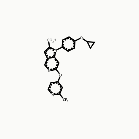 O=C(O)c1cc2cnc(Oc3ccnc(C(F)(F)F)c3)cc2n1-c1ccc(OC2CC2)cc1